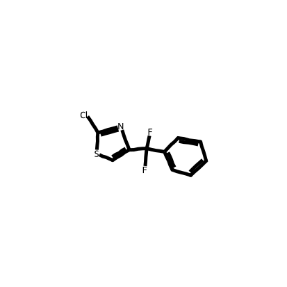 FC(F)(c1ccccc1)c1csc(Cl)n1